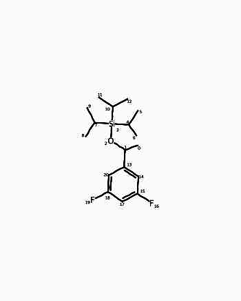 CC(O[Si](C(C)C)(C(C)C)C(C)C)c1cc(F)cc(F)c1